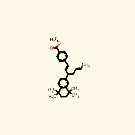 C/C=C/CC(/C=C/c1ccc(C(=O)OC)cc1)c1ccc2c(c1)C(C)(C)CCC2(C)C